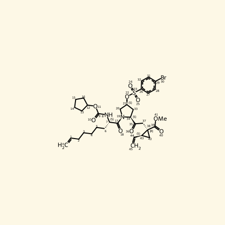 C=CCCCCC[C@H](NC(=O)OC1CCCC1)C(=O)N1C[C@@H](OS(=O)(=O)c2ccc(Br)cc2)C[C@H]1C(=O)C[C@]1(C(=O)OC)C[C@H]1C=C